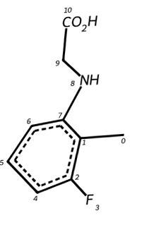 Cc1c(F)cccc1NCC(=O)O